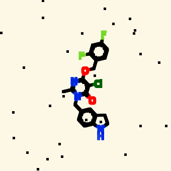 Cc1nc(OCc2ccc(F)cc2F)c(Cl)c(=O)n1Cc1ccc2c(c1)CCN2